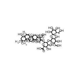 CC1(C)C[C@@H](O)[C@]2(C)CC[C@]3(C)C(=CC[C@@H]4[C@@]5(C)CC[C@H](O[C@@H]6O[C@H](C(=O)O)[C@@H](O)[C@H](O)[C@H]6O[C@@H]6O[C@H](CO)[C@H](O)[C@H](O)[C@H]6O[C@@H]6O[C@H](CO)[C@@H](O)[C@H](O)[C@H]6O)[C@](C)(CO)[C@@H]5CC[C@]43C)[C@@H]2C1